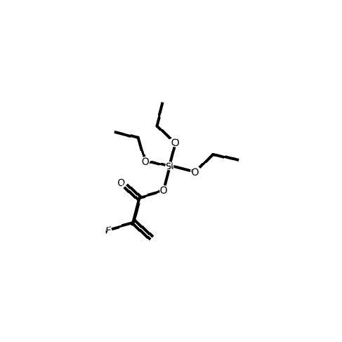 C=C(F)C(=O)O[Si](OCC)(OCC)OCC